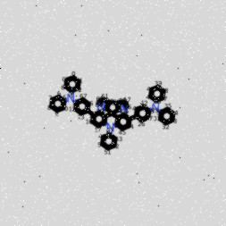 c1ccc(N(c2ccccc2)c2ccc(-c3ccc4c(c3)C3(c5cc(-c6ccc(N(c7ccccc7)c7ccccc7)cc6)ccc5N4c4ccccc4)c4ncccc4-c4cccnc43)cc2)cc1